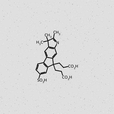 CC1=Nc2cc3c(cc2C1(C)C)-c1ccc(S(=O)(=O)O)cc1C3(CCC(=O)O)CCC(=O)O